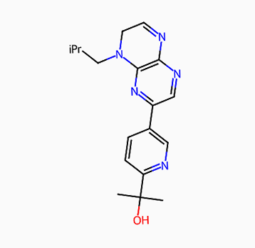 CC(C)CN1CC=Nc2ncc(-c3ccc(C(C)(C)O)nc3)nc21